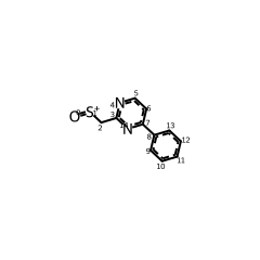 O=[S+]Cc1nccc(-c2ccccc2)n1